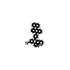 N#Cc1ccc(N(c2ccc(-c3c4ccccc4c(-c4cccc5ccccc45)c4ccccc34)cc2)c2cc3cccnc3c3ncccc23)cc1